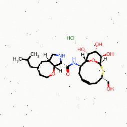 CC(C)C[C@@H]1CCO[C@@H]2[C@H](CN[C@@H]2C(=O)N[C@@H]2C/C=C\C[C@@H](CO)S[C@H]3O[C@H]2[C@H](O)[C@H](O)[C@H]3O)C1.Cl